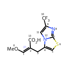 CO/C=C(/Cc1csc2nc(C(F)(F)F)cn12)C(=O)O